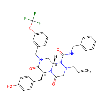 C=CCN1CC(=O)N2[C@@H](Cc3ccc(O)cc3)C(=O)N(Cc3cccc(OC(F)(F)F)c3)C[C@@H]2N1C(=O)NCc1ccccc1